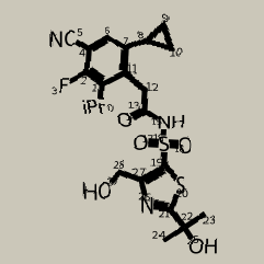 CC(C)c1c(F)c(C#N)cc(C2CC2)c1CC(=O)NS(=O)(=O)c1sc(C(C)(C)O)nc1CO